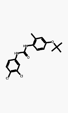 Cc1cc(OC(C)(C)C)ccc1NC(=O)Nc1ccc(Cl)c(Cl)c1